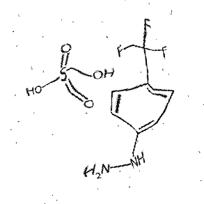 NNc1ccc(C(F)(F)F)cc1.O=S(=O)(O)O